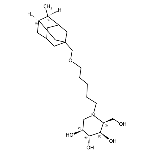 C[C@H]1C2CC3C[C@@H]1CC(COCCCCCN1C[C@H](O)[C@@H](O)[C@H](O)[C@@H]1CO)(C3)C2